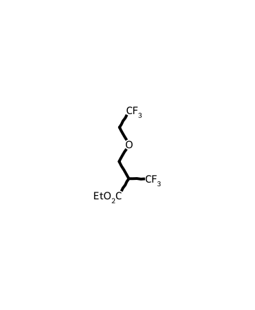 CCOC(=O)C(COCC(F)(F)F)C(F)(F)F